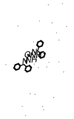 O=C(NN=C(c1ccccc1)c1ccccc1)NN=C(c1ccccc1)c1ccccc1